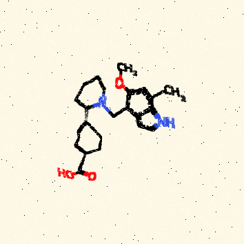 COc1cc(C)c2[nH]ccc2c1CN1CCCCC1[C@H]1CC[C@H](C(=O)O)CC1